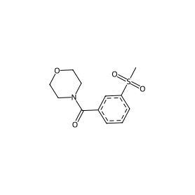 CS(=O)(=O)c1cccc(C(=O)N2CCOCC2)c1